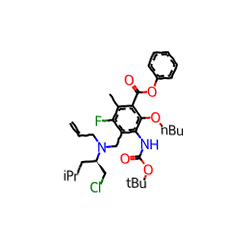 C=CCN(Cc1c(F)c(C)c(C(=O)Oc2ccccc2)c(OCCCC)c1NC(=O)OC(C)(C)C)[C@@H](CCl)CC(C)C